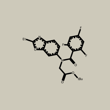 CCc1nc2ccc(N(CC(=O)OC(C)(C)C)C(=O)c3c(F)cc(F)cc3F)cc2o1